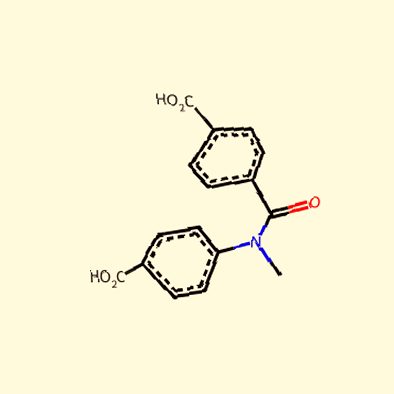 CN(C(=O)c1ccc(C(=O)O)cc1)c1ccc(C(=O)O)cc1